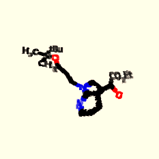 CCOC(=O)C(=O)c1cn(CCCO[Si](C)(C)C(C)(C)C)c2ncccc12